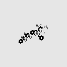 C=C[C@H](C)C[C@H](C)N(Cc1ccc(-n2cc(I)c(NC(=O)c3ccccc3)nc2=O)cc1)C(=O)OCc1ccccc1